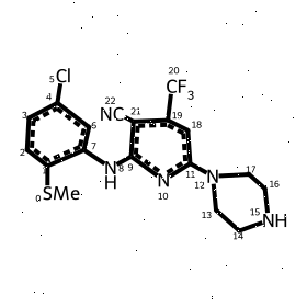 CSc1ccc(Cl)cc1Nc1nc(N2CCNCC2)cc(C(F)(F)F)c1C#N